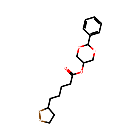 O=C(CCCCC1CCSS1)OC1COC(c2ccccc2)OC1